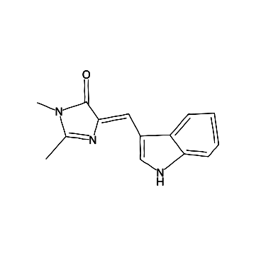 CC1=N/C(=C\c2c[nH]c3ccccc23)C(=O)N1C